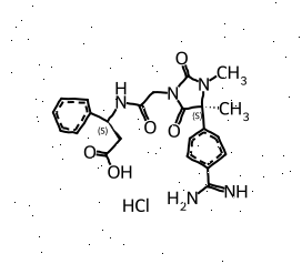 CN1C(=O)N(CC(=O)N[C@@H](CC(=O)O)c2ccccc2)C(=O)[C@]1(C)c1ccc(C(=N)N)cc1.Cl